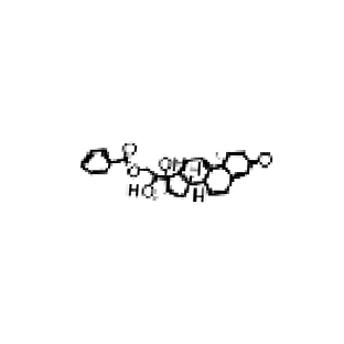 C[C@H]1C[C@H]2[C@@H]3CCC4=CC(=O)CC[C@]4(C)C3=CC[C@]2(C)[C@@]1(O)C(O)COC(=O)c1ccccc1